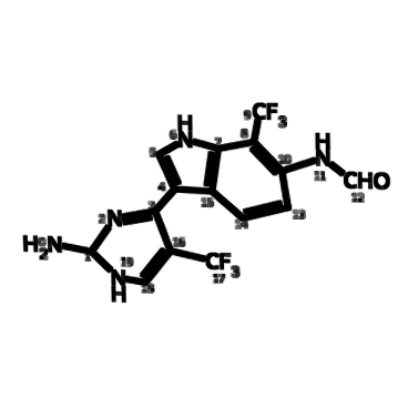 NC1N=C(c2c[nH]c3c(C(F)(F)F)c(NC=O)ccc23)C(C(F)(F)F)=CN1